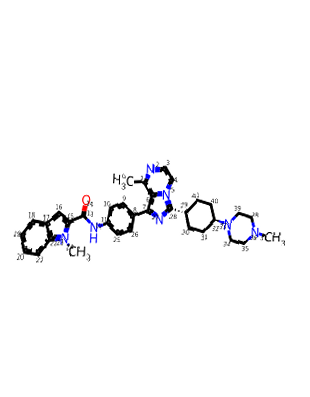 Cc1nccn2c1c(-c1ccc(NC(=O)c3cc4ccccc4n3C)cc1)nc2[C@H]1CC[C@H](N2CCN(C)CC2)CC1